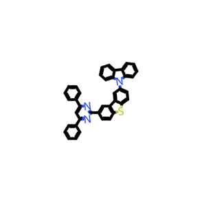 c1ccc(-c2cc(-c3ccccc3)nc(-c3ccc4sc5ccc(-n6c7ccccc7c7ccccc76)cc5c4c3)n2)cc1